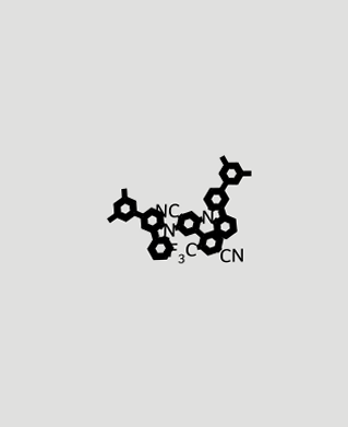 Cc1cc(C)cc(-c2ccc3c(c2)c2ccccc2n3-c2cc(-c3ccc(C#N)cc3C(F)(F)F)c(-n3c4ccccc4c4cc(-c5cc(C)cc(C)c5)ccc43)cc2C#N)c1